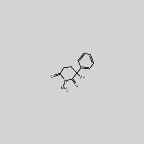 CC(=O)C1(c2ccccc2)CCC(=O)N(N)C1=O